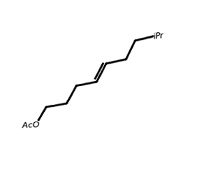 CC(=O)OCCCC=CCCC(C)C